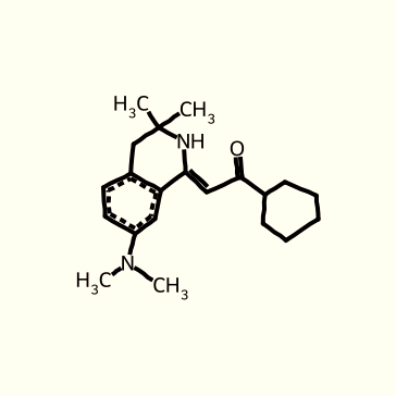 CN(C)c1ccc2c(c1)C(=CC(=O)C1CCCCC1)NC(C)(C)C2